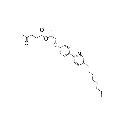 CCCCCCCCc1ccc(-c2ccc(OCC(C)OC(=O)CCC(C)=O)cc2)nc1